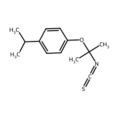 CC(C)c1ccc(OC(C)(C)N=C=S)cc1